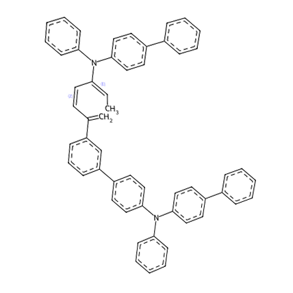 C=C(/C=C\C(=C/C)N(c1ccccc1)c1ccc(-c2ccccc2)cc1)c1cccc(-c2ccc(N(c3ccccc3)c3ccc(-c4ccccc4)cc3)cc2)c1